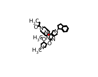 C=CC(=O)N1CC2CC(=O)CC(C1)N2c1nc(O[C@@H]2CN(C)C[C@H]2OC)nc2c1CN(C1CCc3ccccc31)C2